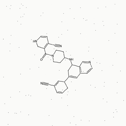 N#CC1=CC(C2=Cc3ccncc3C(NC3CCN(C(=O)C4=C(C#N)C=CNC4)CC3)C2)CC=C1